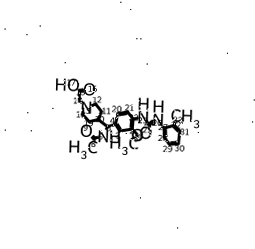 COc1cc(C(NC(C)=O)C2CCN(CC(=O)O)CC2)ccc1NC(=O)Nc1ccccc1C